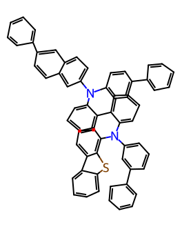 c1ccc(-c2ccc(N(c3ccc4cc(-c5ccccc5)ccc4c3)c3ccccc3-c3ccccc3N(c3cccc(-c4ccccc4)c3)c3cccc4c3sc3ccccc34)cc2)cc1